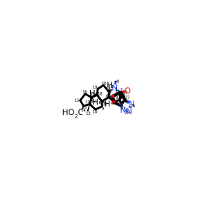 CN1C(=O)C2(C[C@]3(C)[C@H]4CC[C@]5(C)[C@@H](C(=O)O)CC[C@H]5[C@@H]4CC[C@@H]13)c1cccc3c1nnn32